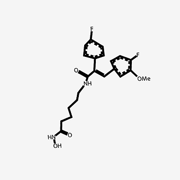 COc1cc(/C=C(/C(=O)NCCCCCC(=O)NO)c2ccc(F)cc2)ccc1F